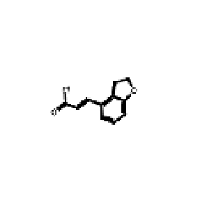 O=C(Cl)/C=C/c1cccc2c1CCO2